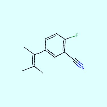 CC(C)=C(C)c1ccc(F)c(C#N)c1